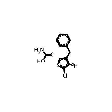 NC(=O)O.[2H]c1c(Cc2ccccc2)csc1Cl